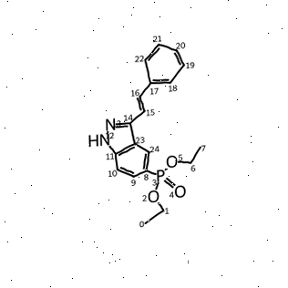 CCOP(=O)(OCC)c1ccc2[nH]nc(C=Cc3ccccc3)c2c1